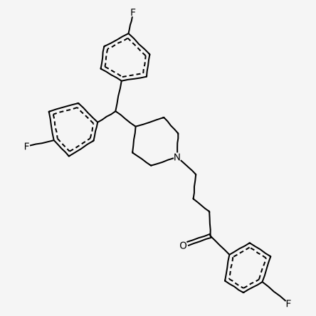 O=C(CCCN1CCC(C(c2ccc(F)cc2)c2ccc(F)cc2)CC1)c1ccc(F)cc1